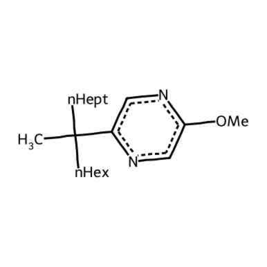 CCCCCCCC(C)(CCCCCC)c1cnc(OC)cn1